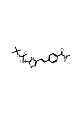 CN(C)C(=O)c1ccc(C=Cc2csc(NC(=O)OC(C)(C)C)n2)cc1